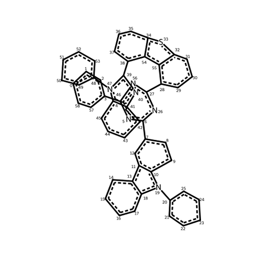 c1ccc(-c2nc(-c3ccc4c(c3)c3ccccc3n4-c3ccccc3)nc(-c3cccc4sc5cccc(-c6nc7ccccc7n6-c6ccccc6)c5c34)n2)cc1